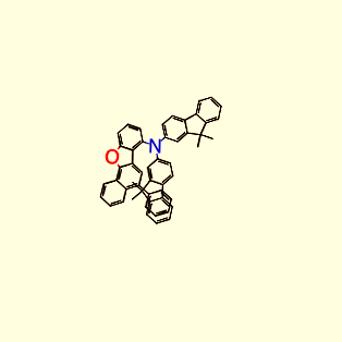 CC1(C)c2ccccc2-c2ccc(N(c3ccc4c(c3)C(C)(C)c3ccccc3-4)c3cccc4oc5c6ccccc6c(-c6ccccc6)cc5c34)cc21